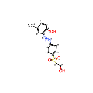 N#Cc1ccc(O)c(/N=N/c2ccc(S(=O)(=O)CCO)cc2)c1